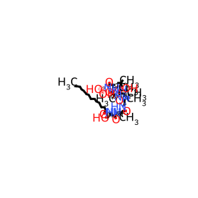 CCCCCCCCCCCCCC(=O)N[C@H](CO)C(=O)N[C@H](C)C(=O)NCC(=O)N(C)[C@H](C(=O)N[C@@H](C)C(=O)N[C@@H](CC(C)C)C(=O)NCB(O)O)C(C)O